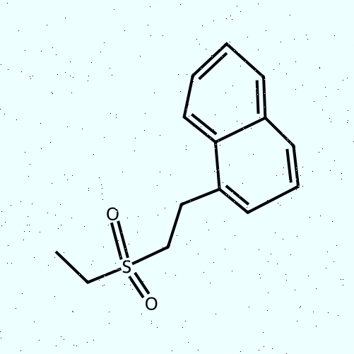 CCS(=O)(=O)CCc1cccc2ccccc12